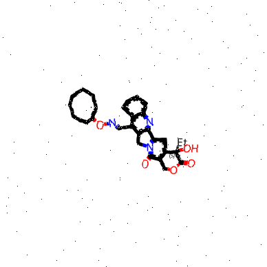 CC[C@@]1(O)C(=O)OCc2c1cc1n(c2=O)Cc2c-1nc1ccccc1c2C=NOC1CCCCCCC1